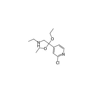 CCNCC(OCC)(OCC)c1ccnc(Cl)c1